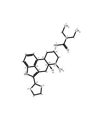 CCN(CC)C(=O)N[C@H]1CC2c3cccc4[nH]c(C5SCCS5)c(c34)C[C@H]2N(C)C1